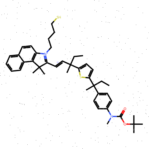 CCC(C)(/C=C/C1=[N+](CCCCS)c2ccc3ccccc3c2C1(C)C)c1ccc(C(C)(CC)c2ccc(N(C)C(=O)OC(C)(C)C)cc2)s1